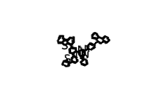 c1ccc(-c2nc(-c3ccc(-c4cc5ccccc5c5ccccc45)cc3)nc(-c3cc(-c4cccc5c4sc4ccccc45)ccc3-c3cccc4c3sc3ccccc34)n2)cc1